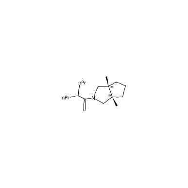 C=C(C(CCC)CCC)N1C[C@]2(C)CCC[C@]2(C)C1